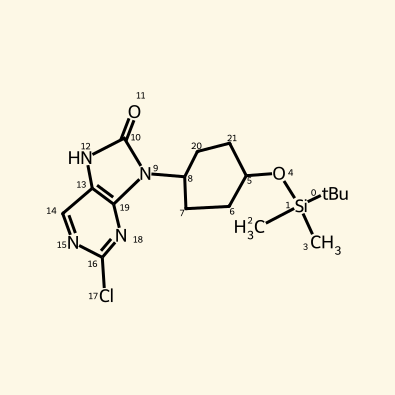 CC(C)(C)[Si](C)(C)OC1CCC(n2c(=O)[nH]c3cnc(Cl)nc32)CC1